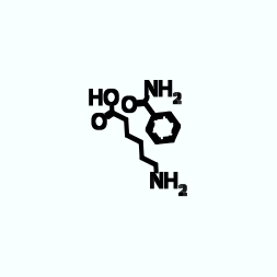 NC(=O)c1ccccc1.NCCCCCC(=O)O